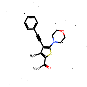 COC(=O)c1sc(N2CCOCC2)c(C#Cc2ccccc2)c1C